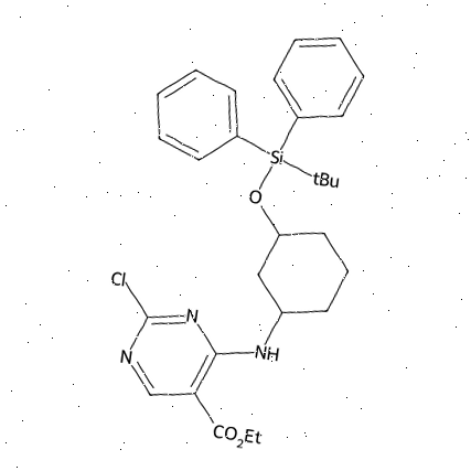 CCOC(=O)c1cnc(Cl)nc1NC1CCCC(O[Si](c2ccccc2)(c2ccccc2)C(C)(C)C)C1